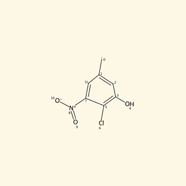 [CH2]c1cc(O)c(Cl)c([N+](=O)[O-])c1